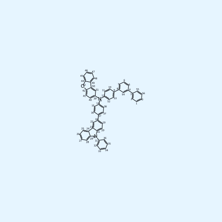 c1ccc(-c2cccc(-c3ccc(N(c4ccc(-c5ccc6c(c5)c5ccccc5n6-c5ccccc5)cc4)c4ccc5oc6ccccc6c5c4)cc3)c2)cc1